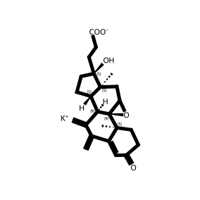 C=C1C(=C)[C@H]2[C@@H]3CC[C@](O)(CCC(=O)[O-])[C@@]3(C)CC3O[C@]32[C@@]2(C)CCC(=O)C=C12.[K+]